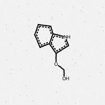 OCOc1c[nH]c2ccccc12